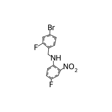 O=[N+]([O-])c1cc(F)ccc1NCc1ccc(Br)cc1F